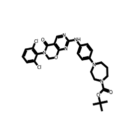 CC(C)(C)OC(=O)N1CCCN(c2ccc(Nc3ncc4c(n3)OCN(c3c(Cl)cccc3Cl)C4=O)cc2)CC1